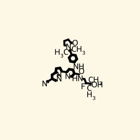 CC(C)(O)C(F)CNC(=O)c1cnc(-c2ccc3cc(C#N)cnn23)cc1Nc1ccc(C(C)(C)N2CCCC2=O)cc1